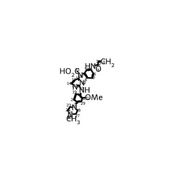 C=CC(=O)Nc1cccc(N(C(=O)O)c2ccnc(Nc3ccc(N4CCN(C)CC4)cc3OC)n2)c1